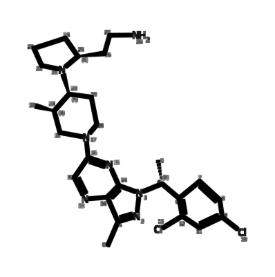 Cc1nn([C@H](C)c2ccc(Cl)cc2Cl)c2nc(N3CC[C@H](N4CCC[C@H]4CCN)[C@H](C)C3)cnc12